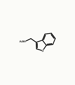 CC(=O)NCc1coc2ccccc12